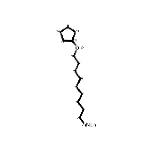 [CH2]CCCCCCCCCCCCCCCCCOC1C[CH]CC1